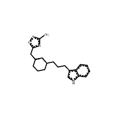 Cc1noc(CC2CCCC(CCCc3c[nH]c4ccccc34)C2)n1